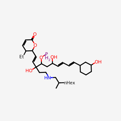 CCCCCCC(C)CNCCC(O)(C=CC1OC(=O)C=CC1CC)C(CC(O)C=CC=CC1CCCC(O)C1)OP